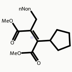 CCCCCCCCCC/C(C(=O)OC)=C(/C(=O)OC)C1CCCC1